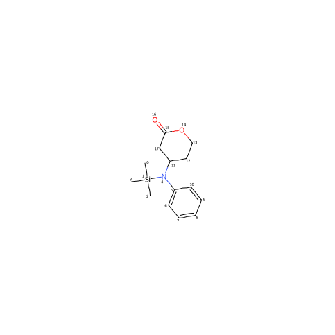 C[Si](C)(C)N(c1ccccc1)C1CCOC(=O)C1